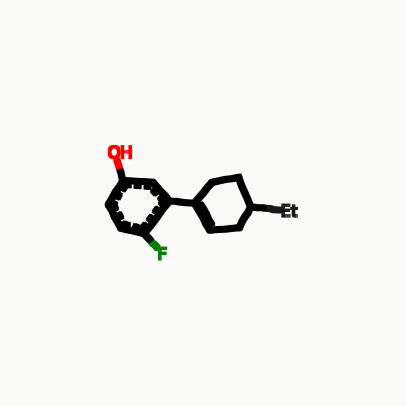 CCC1CC=C(c2cc(O)ccc2F)CC1